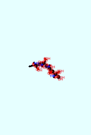 CCCCCO[C@@H]1OC(COS(=O)(=O)O)[C@@H](O[C@H]2C[C@H](O)[C@@H](O[C@@H]3OC(COS(=O)(=O)O)[C@@H](O[C@H]4C[C@H](O)[C@@H](O[C@@H]5OC(COS(=O)(=O)O)[C@@H](O[C@H]6C[C@H](O)[C@@H](O[C@@H]7OC(COS(=O)(=O)O)[C@@H](O[C@H]8C[C@H](O)[C@@H](O)CO8)[C@H](O)C7NC(C)=O)CO6)[C@H](O)C5NC(C)=O)CO4)[C@H](O)C3NC(C)=O)CO2)[C@H](O)C1NC(C)=O